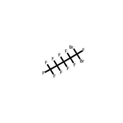 FC(F)(F)C(F)(F)C(F)(F)C(F)(F)C(F)(Br)Br